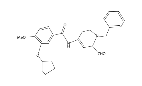 COc1ccc(C(=O)NC2=CC(C=O)N(Cc3ccccc3)CC2)cc1OC1CCCC1